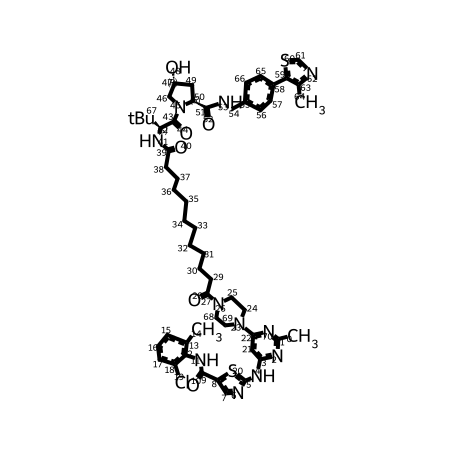 Cc1nc(Nc2ncc(C(=O)Nc3c(C)cccc3Cl)s2)cc(N2CCN(C(=O)CCCCCCCCCCC(=O)N[C@H](C(=O)N3C[C@H](O)C[C@H]3C(=O)NCc3ccc(-c4scnc4C)cc3)C(C)(C)C)CC2)n1